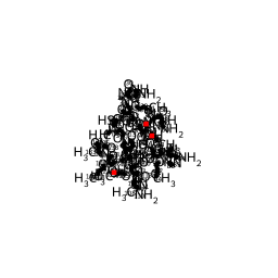 CC[C@H]1O[C@@H](n2cc(C)c(=O)[nH]c2=O)C[C@H]1OP(=O)(S)OC[C@H]1O[C@@H](n2cnc3c(=O)[nH]c(N)nc32)C(OCCOC)[C@H]1OP(=O)(O)OC[C@H]1O[C@@H](n2cnc3c(=O)[nH]c(N)nc32)C(OCCOC)[C@H]1OP(=O)(O)OC[C@H]1O[C@@H](n2cnc3c(N)ncnc32)C(OCCOC)[C@H]1OP(=O)(S)OC[C@H]1O[C@@H](n2cc(C)c(N)nc2=O)C(OCCOC)[C@H]1OP(=O)(S)OC[C@H]1O[C@@H](n2cc(C)c(=O)[nH]c2=O)C(OCCOC)[C@H]1O